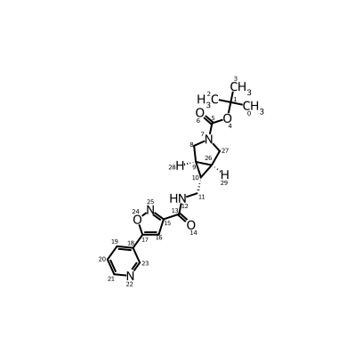 CC(C)(C)OC(=O)N1C[C@@H]2[C@@H](CNC(=O)c3cc(-c4cccnc4)on3)[C@@H]2C1